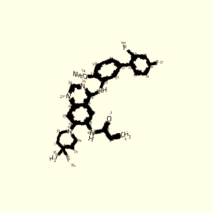 C=CC(=O)Nc1cc2c(Nc3cc(-c4ccc(F)cc4F)ccc3OC)ncnc2cc1N1CCC(F)(P)CC1